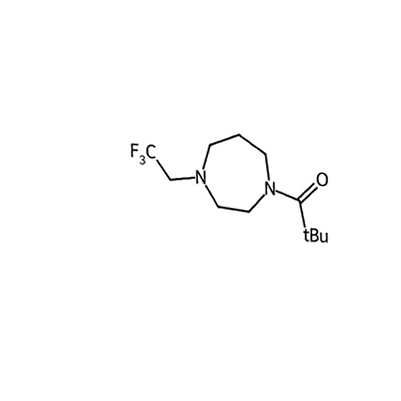 CC(C)(C)C(=O)N1CCCN(CC(F)(F)F)CC1